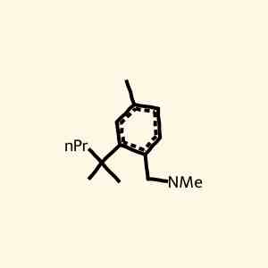 CCCC(C)(C)c1cc(C)ccc1CNC